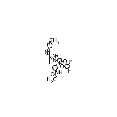 C=CC(=O)Nc1cccc(-n2c(=O)c(Oc3ccc(F)cc3F)cc3cnc(Nc4cnn(C5CCN(C)CC5)c4)nc32)c1